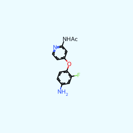 CC(=O)Nc1cc(Oc2ccc(N)cc2F)ccn1